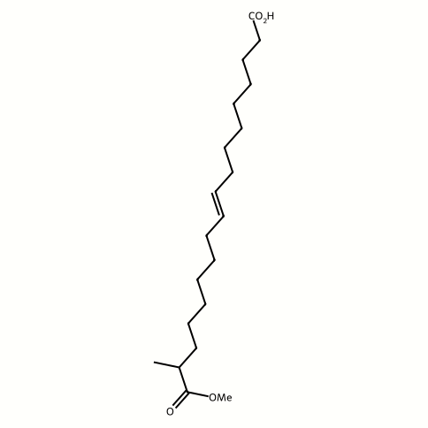 COC(=O)C(C)CCCCCCC=CCCCCCCCC(=O)O